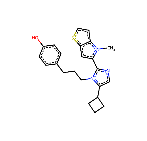 Cn1c(-c2ncc(C3CCC3)n2CCCc2ccc(O)cc2)cc2sccc21